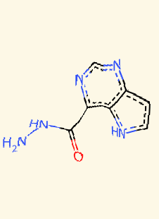 NNC(=O)c1ncnc2cc[nH]c12